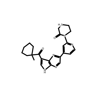 CC1(C(=O)c2c[nH]c3ncc(-c4ccnc(N5CC[SH2]CC5=O)c4)nc23)CCCCC1